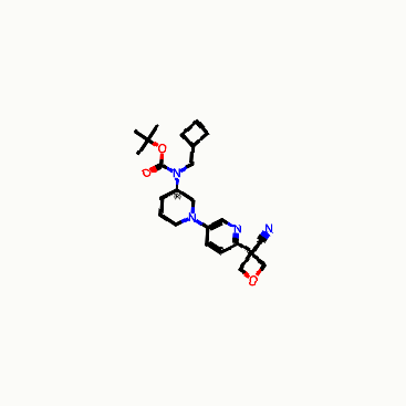 CC(C)(C)OC(=O)N(CC1CCC1)[C@@H]1CCCN(c2ccc(C3(C#N)COC3)nc2)C1